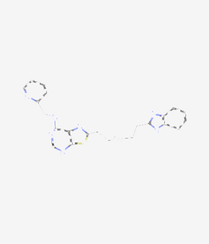 c1ccc(CNc2ncnc3sc(C[CH2][Au][CH2]Cc4nc5ccccc5[nH]4)nc23)nc1